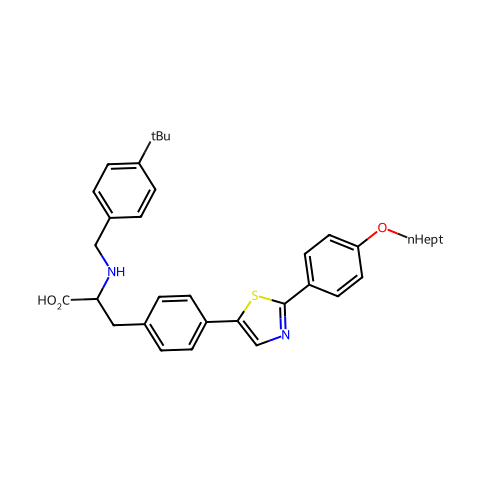 CCCCCCCOc1ccc(-c2ncc(-c3ccc(CC(NCc4ccc(C(C)(C)C)cc4)C(=O)O)cc3)s2)cc1